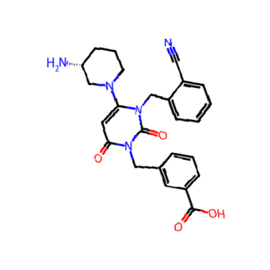 N#Cc1ccccc1Cn1c(N2CCC[C@@H](N)C2)cc(=O)n(Cc2cccc(C(=O)O)c2)c1=O